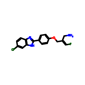 NC/C(=C\F)COc1ccc(-c2nc3ccc(Cl)cc3[nH]2)cc1